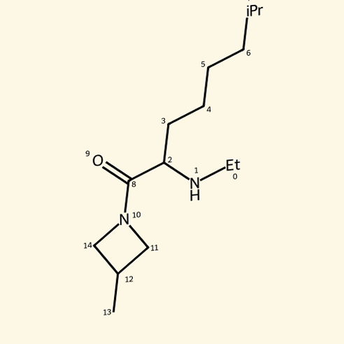 CCNC(CCCCC(C)C)C(=O)N1CC(C)C1